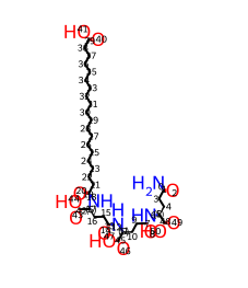 NC(=O)CC[C@H](NC(=O)CC[C@H](NC(=O)CC[C@H](NC(=O)CCCCCCCCCCCCCCCCCCC(=O)O)C(=O)O)C(=O)O)C(=O)O